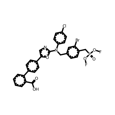 O=C(O)c1ccccc1-c1ccc(-c2cnc(N(Cc3ccc(CP(=O)(OF)OF)c(Br)c3)c3ccc(Cl)cc3)o2)cc1